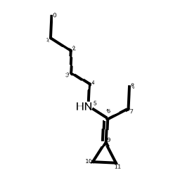 CCCCCNC(CC)=C1CC1